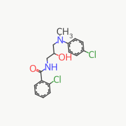 CN(CC(O)CNC(=O)c1ccccc1Cl)c1ccc(Cl)cc1